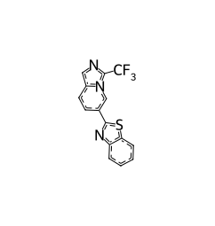 FC(F)(F)c1ncc2ccc(-c3nc4ccccc4s3)cn12